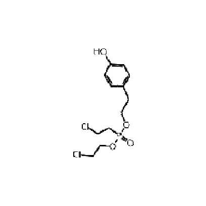 O=P(CCCl)(OCCCl)OCCc1ccc(O)cc1